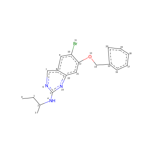 CCC(C)Nc1ncc2cc(Br)c(OCc3ccccc3)cc2n1